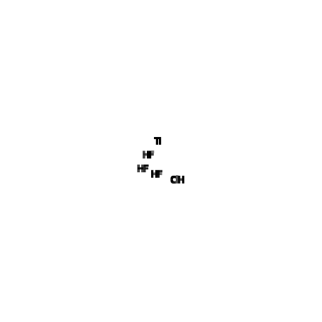 Cl.F.F.F.[Ti]